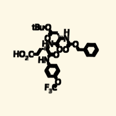 CC(C)(C)OC(=O)C[C@H](NC(=O)OCc1ccccc1)C(=O)N[C@@H](CCC(=O)O)C(=O)Nc1ccc(OC(F)(F)F)cc1